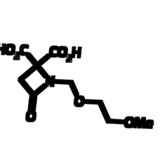 COCCOCN1C(=O)CC1(C(=O)O)C(=O)O